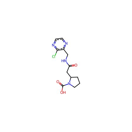 O=C(CC1CCCN1C(=O)O)NCc1nccnc1Cl